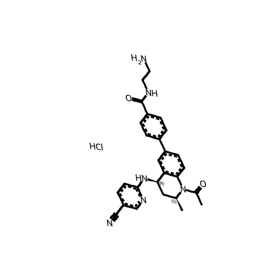 CC(=O)N1c2ccc(-c3ccc(C(=O)NCCN)cc3)cc2[C@H](Nc2ccc(C#N)cn2)C[C@@H]1C.Cl